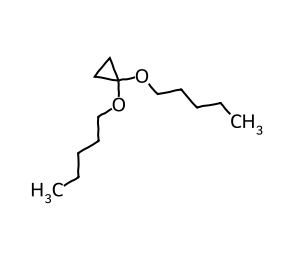 CCCCCOC1(OCCCCC)CC1